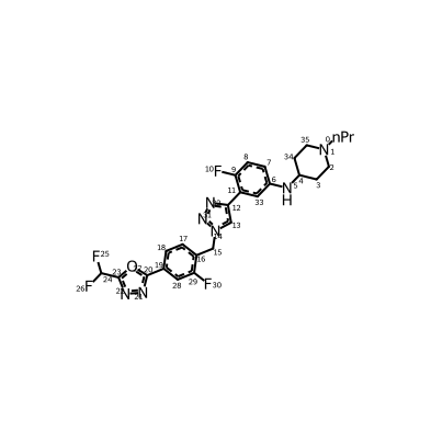 CCCN1CCC(Nc2ccc(F)c(-c3cn(Cc4ccc(-c5nnc(C(F)F)o5)cc4F)nn3)c2)CC1